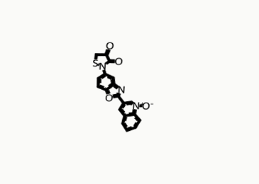 O=C1CSN(c2ccc3oc(-c4cc5ccccc5[n+]([O-])c4)nc3c2)C1=O